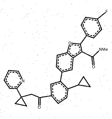 CNC(=O)c1c(-c2ccc(F)cc2)oc2ccc(-c3cc(C(=O)CC4(c5ccccn5)CC4)ccc3C3CC3)cc12